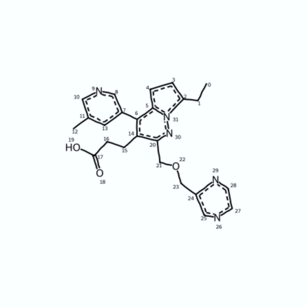 CCc1ccc2c(-c3cncc(C)c3)c(CCC(=O)O)c(COCc3cnccn3)nn12